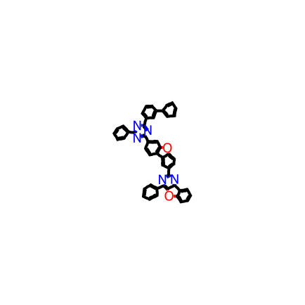 c1ccc(-c2cccc(-c3nc(-c4ccccc4)nc(-c4ccc5c(c4)oc4ccc(-c6nc(-c7ccccc7)c7oc8ccccc8c7n6)cc45)n3)c2)cc1